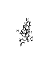 Cn1nc(-c2ccc(F)cc2)c(-c2ccncc2)c1NC(=O)Cc1ccc(Cl)cc1F